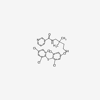 CC(C)(CCS)CNC(=O)c1cccnc1.Clc1cc(Cl)c(Sc2c(Cl)cc(Cl)cc2Cl)c(Cl)c1